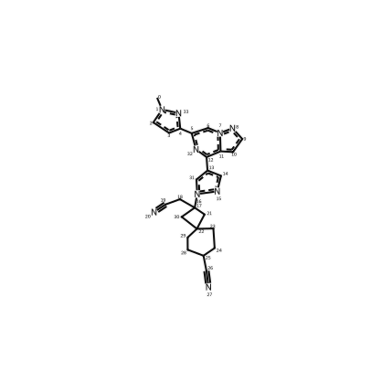 Cn1ccc(-c2cn3nccc3c(-c3cnn(C4(CC#N)CC5(CCC(C#N)CC5)C4)c3)n2)n1